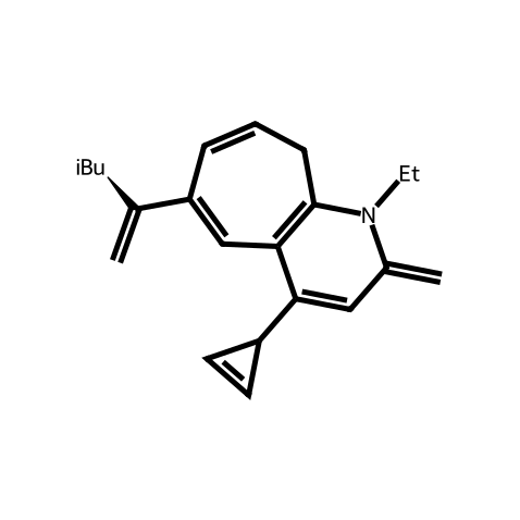 C=C(C1=CC2=C(CC=C1)N(CC)C(=C)C=C2C1C=C1)[C@H](C)CC